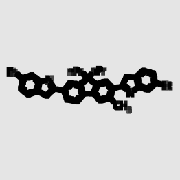 CCCC1(CCC)c2cc(C3=Nc4cc(CC)ccc4C3)ccc2-c2cc(C)c(C3=Nc4cc(CC)ccc4C3)cc21